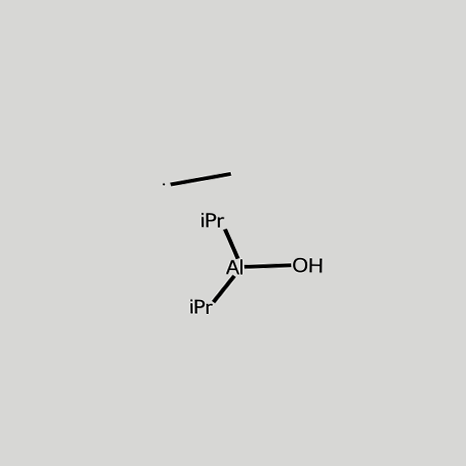 C[CH](C)[Al]([OH])[CH](C)C.[CH2]C